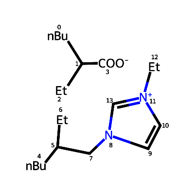 CCCCC(CC)C(=O)[O-].CCCCC(CC)Cn1cc[n+](CC)c1